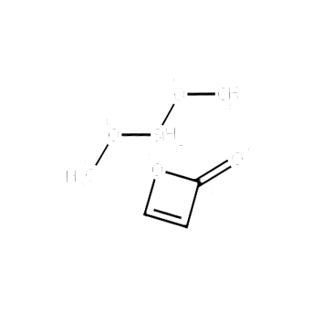 CO[SiH2]OC.O=C1C=CO1